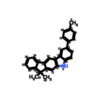 Cc1ccc(-c2ccc3[nH]c4cc5c(cc4c3c2)-c2ccccc2C5(C)C)cc1